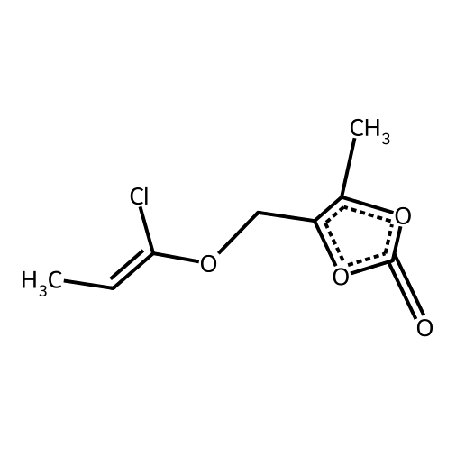 CC=C(Cl)OCc1oc(=O)oc1C